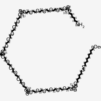 CCCCCCCCCCCCCCCCCCCSSCCCCCCOOP(C)(=O)OCCOCCOCCOCCOCCOCCOP(C)(=O)OCCOCCOCCOCCOCCOCCOP(C)(=O)OCCOCCOCCOCCOCCOCCOP(C)(=O)OCCOCCOCCOCCOCCOCCOP(C)(=O)OCCCCCCN